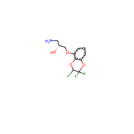 NC[C@@H](O)COc1cccc2c1OC(F)C(F)(F)O2